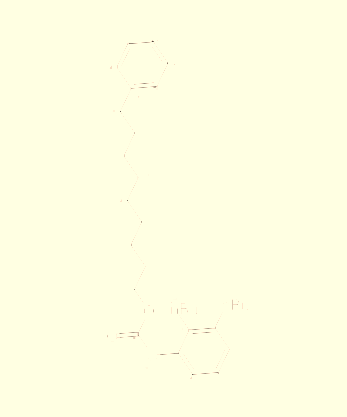 CCCCc1cccc(OC(=O)OCCCCCCCCCc2ccccc2)c1CCCC